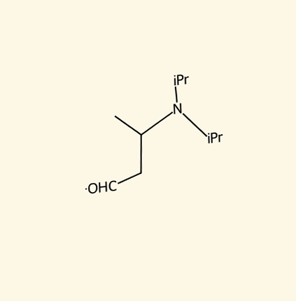 CC(C)N(C(C)C)C(C)C[C]=O